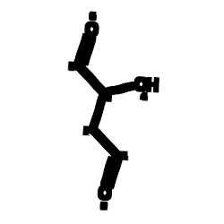 O=[C]CC(O)[C]=O